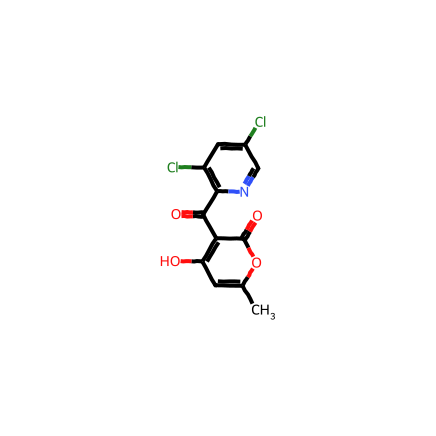 Cc1cc(O)c(C(=O)c2ncc(Cl)cc2Cl)c(=O)o1